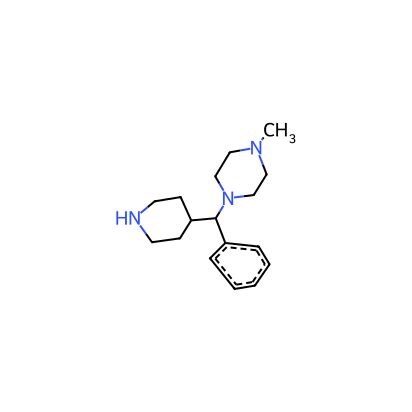 CN1CCN(C(c2ccccc2)C2CCNCC2)CC1